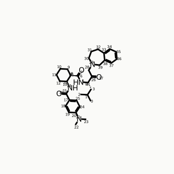 CC(C)C[C@H](NC(=O)[C@@H]1CCCC[C@@H]1NC(=O)c1ccc(N(C)C)cc1)C(=O)CN1CCCc2ccccc2C1